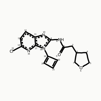 O=C(CC1CCOC1)Nc1nc2ccc(Cl)nc2n1C1=CC=C1